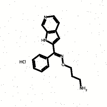 Cl.NCCCON=C(c1ccccc1)c1cc2ccncc2[nH]1